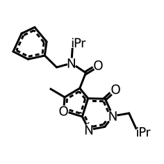 Cc1oc2ncn(CC(C)C)c(=O)c2c1C(=O)N(Cc1ccccc1)C(C)C